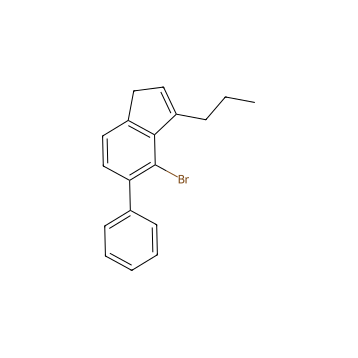 CCCC1=CCc2ccc(-c3ccccc3)c(Br)c21